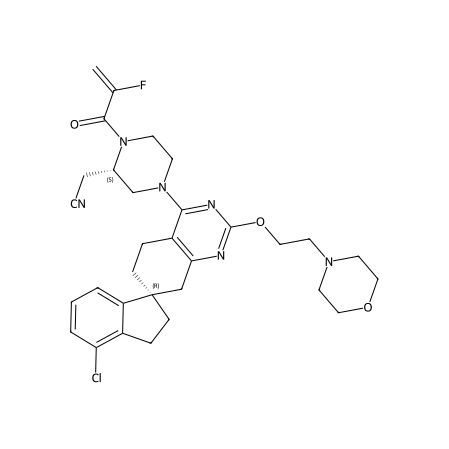 C=C(F)C(=O)N1CCN(c2nc(OCCN3CCOCC3)nc3c2CC[C@@]2(CCc4c(Cl)cccc42)C3)C[C@@H]1CC#N